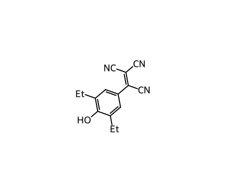 CCc1cc(C(C#N)=C(C#N)C#N)cc(CC)c1O